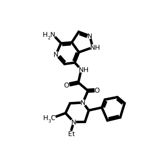 CCN1CC(c2ccccc2)N(C(=O)C(=O)Nc2cnc(N)c3cn[nH]c23)CC1C